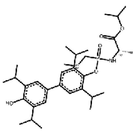 COCP(=O)(N[C@@H](C)C(=O)OC(C)C)Oc1c(C(C)C)cc(-c2cc(C(C)C)c(O)c(C(C)C)c2)cc1C(C)C